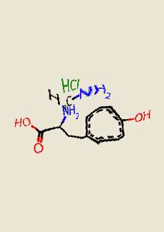 CN.Cl.N[C@@H](Cc1ccc(O)cc1)C(=O)O